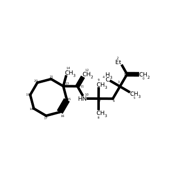 C=C(CC)C(C)(C)CC(C)(C)NC(=C)C1(C)C#CCCCCC1